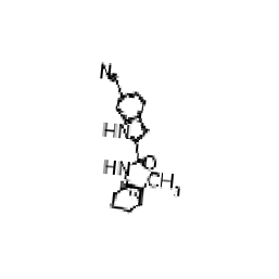 C[C@H]1CCCC[C@H]1NC(=O)c1cc2ccc(C#N)cc2[nH]1